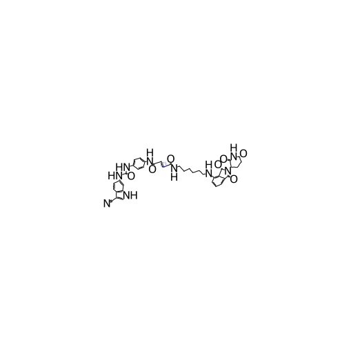 N#Cc1c[nH]c2cc(NC(=O)Nc3ccc(NC(=O)/C=C/C(=O)NCCCCCCNc4cccc5c4C(=O)N(C4CCC(=O)NC4=O)C5=O)cc3)ccc12